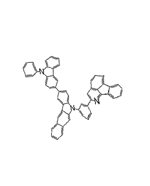 c1ccc(-n2c3ccccc3c3cc(-c4ccc5c(c4)c4cc6ccccc6cc4n5-c4cccc(-c5cc6cccc7c6c(n5)-c5ccccc5-7)c4)ccc32)cc1